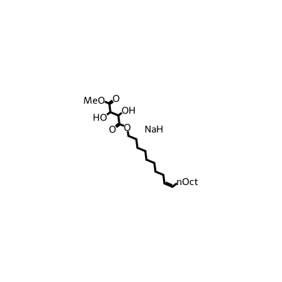 CCCCCCCC/C=C\CCCCCCCCOC(=O)C(O)C(O)C(=O)OC.[NaH]